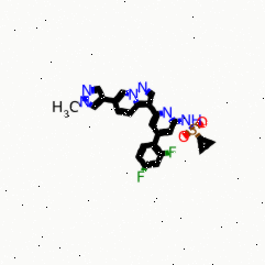 Cn1cc(-c2ccc3c(-c4cc(-c5ccc(F)cc5F)cc(NS(=O)(=O)C5CC5)n4)cnn3c2)cn1